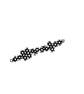 CC1(C)c2cc(-c3ccc4c(c3)C(C)(C)c3cc(-c5c6ccccc6c(-c6c7ccccc7c(-c7ccc(-c8ccc(Cl)cc8)cc7)c7ccccc67)c6ccccc56)ccc3-4)ccc2-c2ccc(-c3c4ccccc4c(-c4ccc(-c5ccc(Cl)cc5)cc4)c4ccccc34)cc21